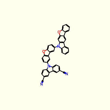 N#Cc1ccc2c(c1)c1cc(C#N)ccc1n2-c1ccc2oc3ccc(-n4c5ccccc5c5cc6c(cc54)oc4ccccc46)cc3c2c1